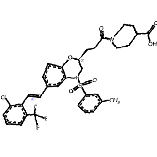 Cc1cccc(S(=O)(=O)N2C[C@H](CCC(=O)N3CCC(C(=O)O)CC3)Oc3ccc(/C=C/c4c(Cl)cccc4C(F)(F)F)cc32)c1